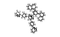 C1=CC(c2ccc(-c3cc(-c4ccc(-c5ccccn5)cc4)nc(-c4cc(-c5cccc6c5CCC=C6)cc(C5CC=Cc6ccccc65)c4)n3)cc2)=NCC1